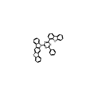 c1ccc(-c2nc(-c3cccc4c3oc3ccccc34)nc(-n3c4ccccc4c4cc5sc6ccccc6c5cc43)n2)cc1